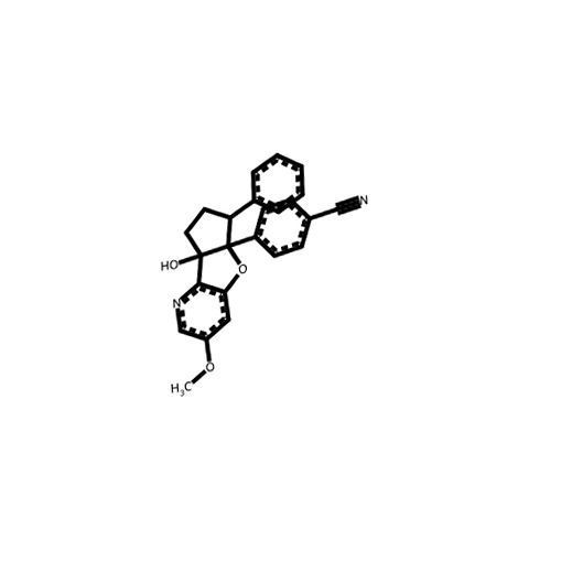 COc1cnc2c(c1)OC1(c3ccc(C#N)cc3)C(c3ccccc3)CCC21O